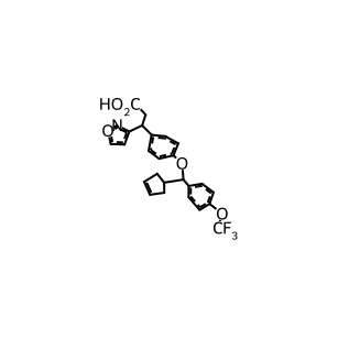 O=C(O)CC(c1ccc(OC(c2ccc(OC(F)(F)F)cc2)C2CC=CC2)cc1)c1ccon1